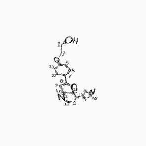 OCCOc1ccc(-c2cc3nccc(-c4cncs4)c3o2)cc1